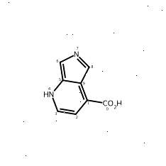 O=C(O)c1cc[nH]c2cncc1-2